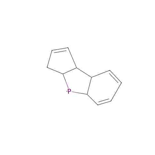 C1=CC2[P]C3CC=CC3C2C=C1